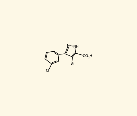 O=C(O)c1[nH]nc(-c2cccc(Cl)c2)c1Br